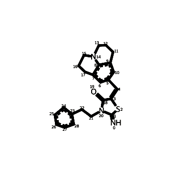 N=C1S/C(=C/c2cc3c4c(c2)CCCN4CCC3)C(=O)N1CCc1ccccc1